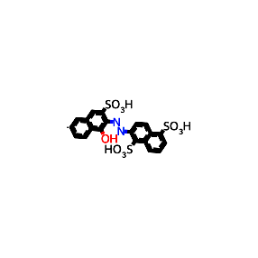 O=S(=O)(O)c1cc2c[c]ccc2c(O)c1N=Nc1ccc2c(S(=O)(=O)O)cccc2c1S(=O)(=O)O